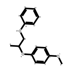 COc1ccc(OC(C)COc2ccccc2)cc1